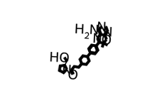 CC1(C)Oc2ncnc(N)c2N=C1c1ccc(C2CCC(CCC(=O)N3CCC[C@H]3CO)CC2)cc1